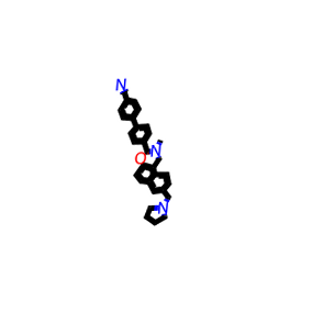 CN(Cc1cccc2cc(CN3CCCC3)ccc12)C(=O)c1ccc(-c2ccc(C#N)cc2)cc1